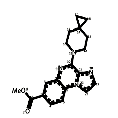 COC(=O)c1ccc2c(c1)nc(N1CCC3(CC1)CC3)c1nccn12